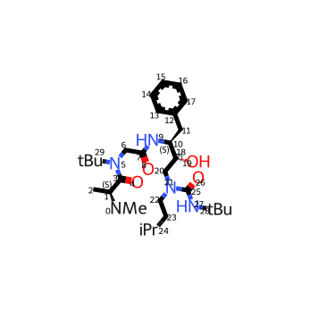 CN[C@@H](C)C(=O)N(CC(=O)N[C@@H](Cc1ccccc1)[C@H](O)CN(CCC(C)C)C(=O)NC(C)(C)C)C(C)(C)C